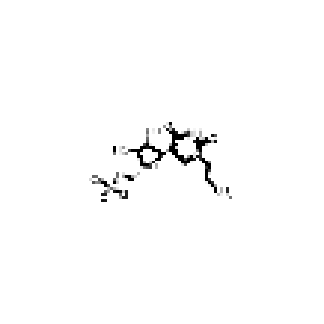 CCCn1cc([C@@H]2O[C@H](COP(=O)(Cl)Cl)C(O)[C@@H]2O)c(=O)[nH]c1=O